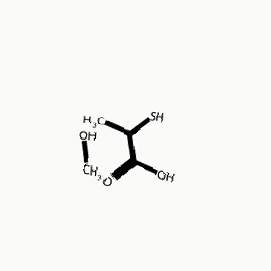 CC(S)C(=O)O.CO